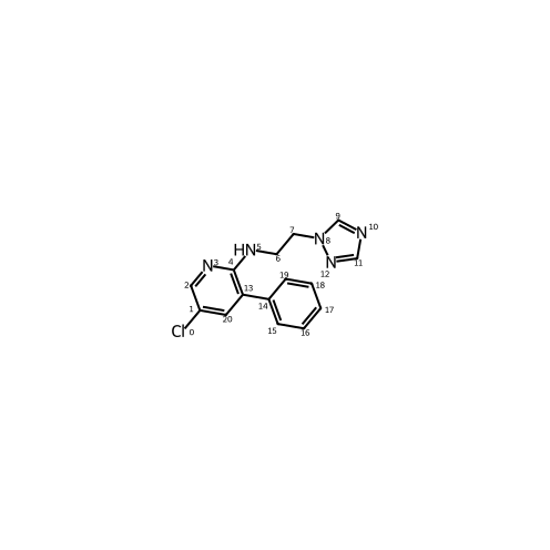 Clc1cnc(NCCn2cncn2)c(-c2ccccc2)c1